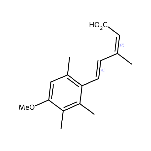 COc1cc(C)c(/C=C/C(C)=C\C(=O)O)c(C)c1C